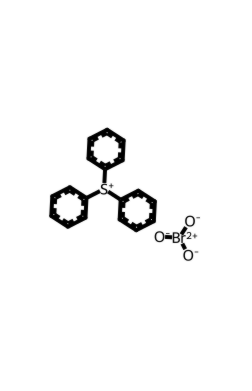 [O-][Br+2]([O-])[O-].c1ccc([S+](c2ccccc2)c2ccccc2)cc1